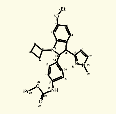 CCOc1ccc2c(c1)N(C1CCC1)C(c1ccc(NC(=O)OC(C)C)cc1)C2c1ccn(C)n1